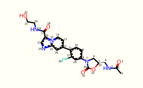 CC(=O)NC[C@H]1CN(c2ccc(-c3ccn4c(C(=O)NCCO)cnc4c3)c(F)c2)C(=O)O1